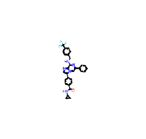 O=C(NC1CC1)c1ccc(-c2cnc3c(NCc4ccc(C(F)(F)F)cc4)nc(-c4ccccc4)cn23)cc1